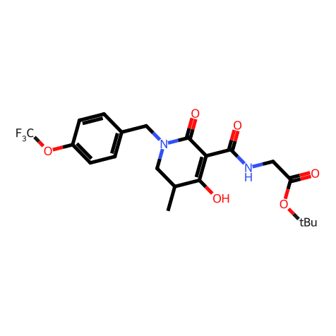 CC1CN(Cc2ccc(OC(F)(F)F)cc2)C(=O)C(C(=O)NCC(=O)OC(C)(C)C)=C1O